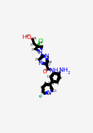 Nc1ccc(-c2ccc(F)nc2)cc1NC(=O)c1cnc(N2CC(Cl)(CCO)C2)cn1